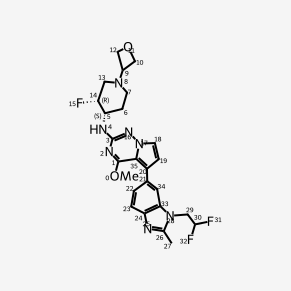 COc1nc(N[C@H]2CCN(C3COC3)C[C@H]2F)nn2ccc(-c3ccc4nc(C)n(CC(F)F)c4c3)c12